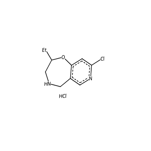 CCC1CNCc2cnc(Cl)cc2O1.Cl